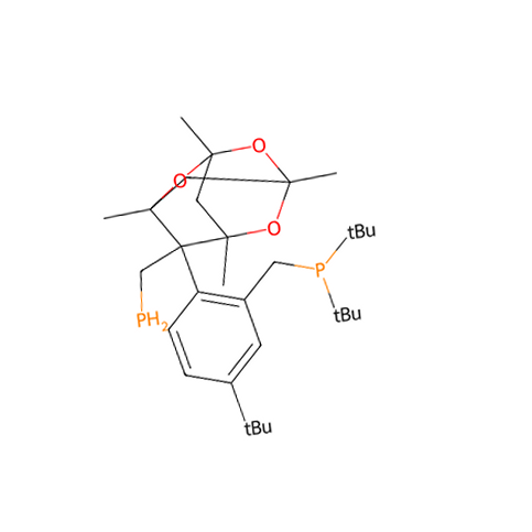 CC12CC3(C)OC(C)(CC(C)(O1)C3(CP)c1ccc(C(C)(C)C)cc1CP(C(C)(C)C)C(C)(C)C)O2